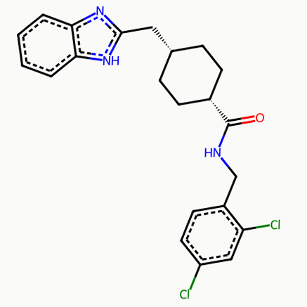 O=C(NCc1ccc(Cl)cc1Cl)[C@H]1CC[C@@H](Cc2nc3ccccc3[nH]2)CC1